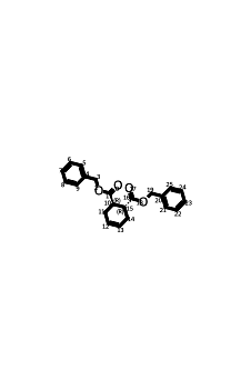 O=C(OCc1ccccc1)[C@@H]1CC=CC[C@H]1C(=O)OCc1ccccc1